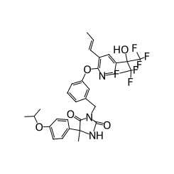 CC=Cc1cc(C(O)(C(F)(F)F)C(F)(F)F)cnc1Oc1cccc(CN2C(=O)NC(C)(c3ccc(OC(C)C)cc3)C2=O)c1